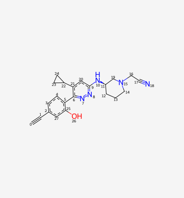 C#Cc1ccc(-c2nnc(N[C@@H]3CCCN(CC#N)C3)cc2C2CC2)c(O)c1